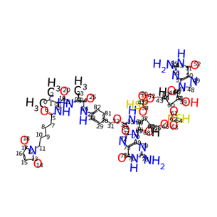 CC(C)[C@H](NC(=O)CCCCCN1C(=O)C=CC1=O)C(=O)N[C@@H](C)C(=O)Nc1ccc(COC(=O)N[C@H]2C3OP(=O)(S)OC[C@H]4O[C@@H](n5cnc6c(=O)[nH]c(N)nc65)[C@@H](O)C4OP(=O)(S)OC[C@H]3O[C@H]2n2cnc3c(=O)[nH]c(N)nc32)cc1